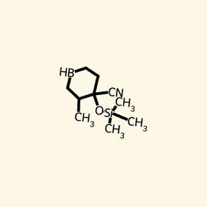 CC1CBCCC1(C#N)O[Si](C)(C)C